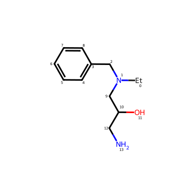 CCN(Cc1ccccc1)CC(O)CN